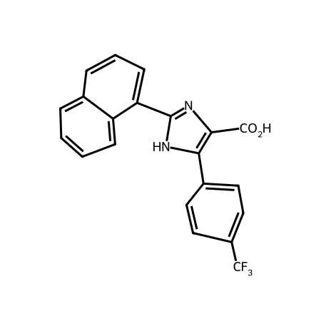 O=C(O)c1nc(-c2cccc3ccccc23)[nH]c1-c1ccc(C(F)(F)F)cc1